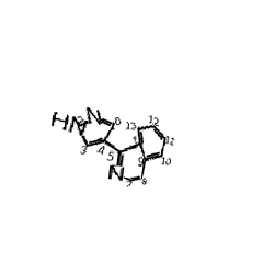 [c]1n[nH]cc1-c1nccc2ccccc12